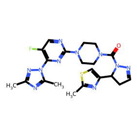 Cc1nc(C)n(-c2nc(N3CCN(C(=O)N4N=CCC4c4csc(C)n4)CC3)ncc2F)n1